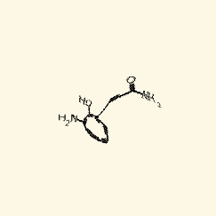 NC(=O)/C=C/c1cccc(N)c1O